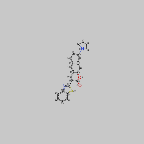 O=c1oc2cc3cc(N4CCCC4)ccc3cc2cc1-c1nc2ccccc2s1